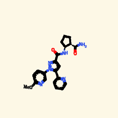 COc1ccc(-n2nc(C(=O)N[C@@H]3CCC[C@@H]3C(N)=O)cc2-c2ccccn2)cn1